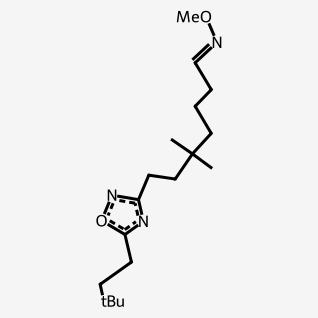 CO/N=C/CCCC(C)(C)CCc1noc(CCC(C)(C)C)n1